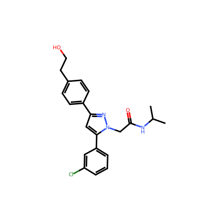 CC(C)NC(=O)Cn1nc(-c2ccc(CCO)cc2)cc1-c1cccc(Cl)c1